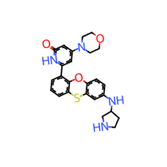 O=c1cc(N2CCOCC2)cc(-c2cccc3c2Oc2ccc(NC4CCNC4)cc2S3)[nH]1